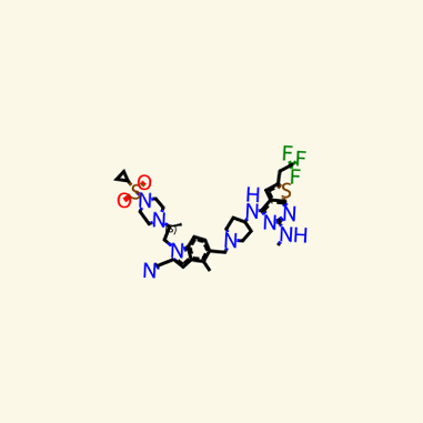 CNc1nc(NC2CCN(Cc3ccc4c(cc(C#N)n4C[C@H](C)N4CCN(S(=O)(=O)C5CC5)CC4)c3C)CC2)c2cc(CC(F)(F)F)sc2n1